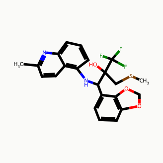 CSCC(O)(C(Nc1cccc2nc(C)ccc12)c1cccc2c1OCO2)C(F)(F)F